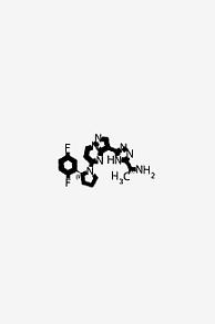 C[C@H](N)c1nnc(-c2cnn3ccc(N4CCC[C@@H]4c4cc(F)ccc4F)nc23)[nH]1